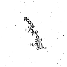 CNC(=O)NCC(C)(C)CNC(=O)Nc1ccc(CNC(=O)NCCCN(C)C(=O)Nc2ccc3c(c2)Cc2cc(OC#N)ccc2C3)cc1